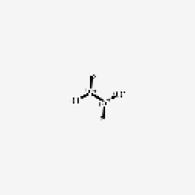 C[S+]([O-])[S+](C)[O-]